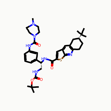 CN1CCN(C(=O)Nc2cccc([C@@H](CNC(=O)OC(C)(C)C)NC(=O)c3cc4cc5c(nc4s3)CC[C@@H](C(C)(C)C)C5)c2)CC1